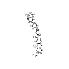 CN1CCN(Cc2ccc(NC(=O)CNc3ccc(-c4cnc5[nH]ncc5c4)cc3)cc2C(F)(F)F)CC1